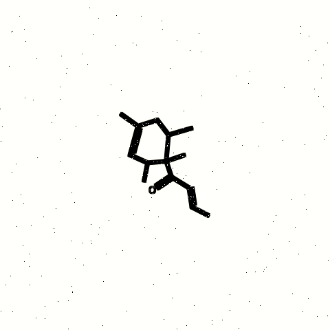 CC=CC(=O)C1(C)C(C)C=C(C)CC1C